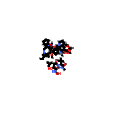 CCC1=C[C@@H]2C[N@](C1)Cc1c([nH]c3ccccc13)[C@@](C(=O)OC)(c1cc3c(cc1OC)N(C)[C@H]1[C@@](O)(C(=O)OC)[C@H](OC(C)=O)[C@]4(CC)C=CCN5CC[C@]31[C@@H]54)C2.CNC(=O)[C@@H](NC(=O)[C@H](CC(C)C)[C@H](O)C(=O)NO)C(C)(C)C